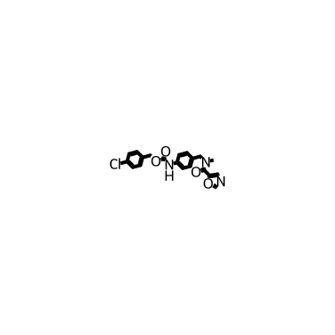 CN(Cc1ccc(NC(=O)OCc2ccc(Cl)cc2)cc1)C(=O)c1cnco1